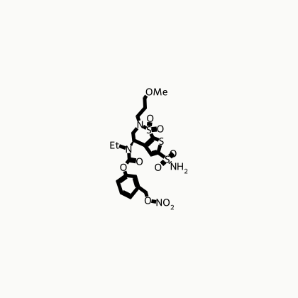 CCN(C(=O)Oc1cccc(CO[N+](=O)[O-])c1)[C@H]1CN(CCCOC)S(=O)(=O)c2sc(S(N)(=O)=O)cc21